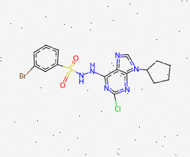 O=S(=O)(NNc1nc(Cl)nc2c1ncn2C1CCCC1)c1cccc(Br)c1